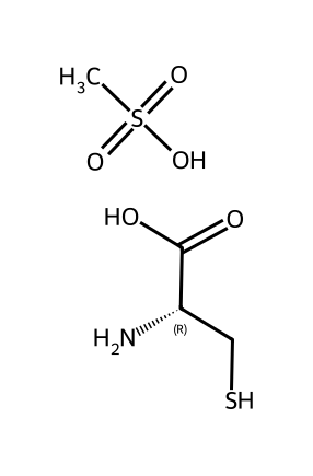 CS(=O)(=O)O.N[C@@H](CS)C(=O)O